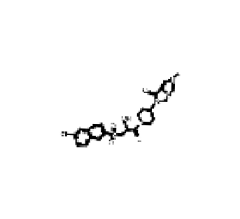 CN1C=C2C(=O)N(C3CCN(C(=O)C(O)CS(=O)(=O)c4ccc5cc(Cl)ccc5c4)CC3)CN2C1